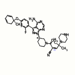 CC1(Oc2ccc(-c3nn([C@@H]4CCCN(C(=O)/C(C#N)=C\C(C)(C)N5CCNCC5)C4)c4ncnc(N)c34)c(F)c2)C=CC=CC1